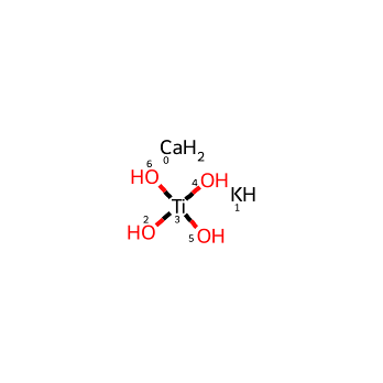 [CaH2].[KH].[OH][Ti]([OH])([OH])[OH]